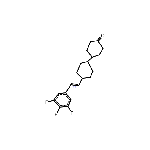 O=C1CCC(C2CCC(/C=C/c3cc(F)c(F)c(F)c3)CC2)CC1